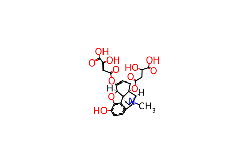 CN1CC[C@]23c4c5ccc(O)c4O[C@H]2C(OC(=O)CC(O)C(=O)O)=CC[C@@]3(OC(=O)CC(O)C(=O)O)[C@H]1C5